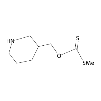 CSC(=S)OCC1CCCNC1